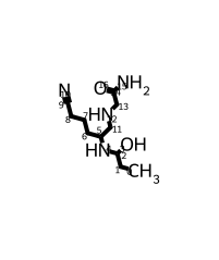 CCC(O)NC(CCCC#N)CNCC(N)=O